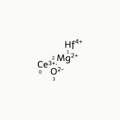 [Ce+3].[Hf+4].[Mg+2].[O-2]